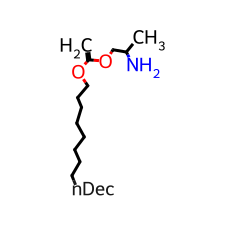 C=C(OCCCCCCCCCCCCCCCCCC)OCC(C)N